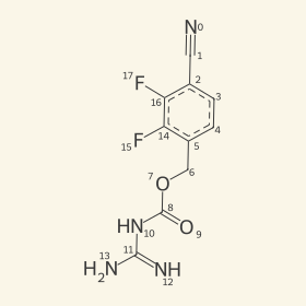 N#Cc1ccc(COC(=O)NC(=N)N)c(F)c1F